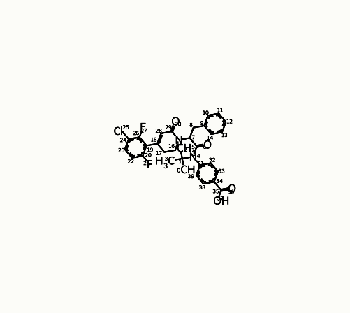 CC(C)(C)N(C(=O)C(Cc1ccccc1)N1CCC(c2c(F)ccc(Cl)c2F)=CC1=O)c1ccc(C(=O)O)cc1